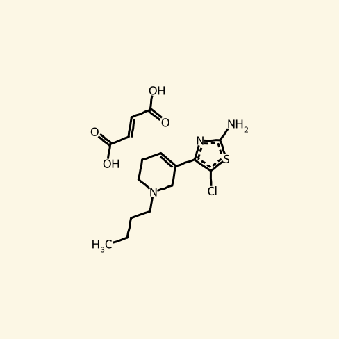 CCCCN1CCC=C(c2nc(N)sc2Cl)C1.O=C(O)C=CC(=O)O